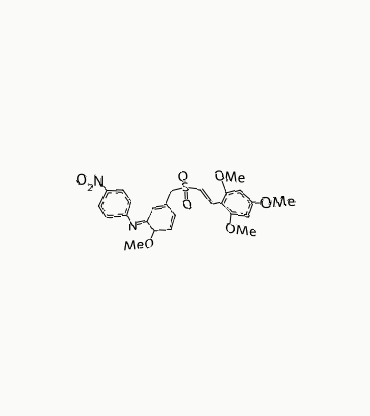 COc1cc(OC)c(C=CS(=O)(=O)CC2=CC(=Nc3ccc([N+](=O)[O-])cc3)C(OC)C=C2)c(OC)c1